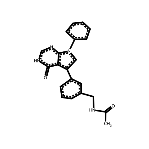 CC(=O)NCc1cccc(-c2cn(-c3ccccc3)c3nc[nH]c(=O)c23)c1